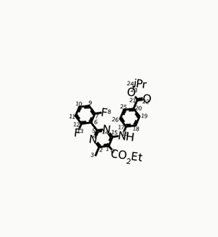 CCOC(=O)c1c(C)nc(-c2c(F)cccc2F)nc1Nc1ccc(C(=O)OC(C)C)cc1